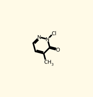 Cc1ccnn(Cl)c1=O